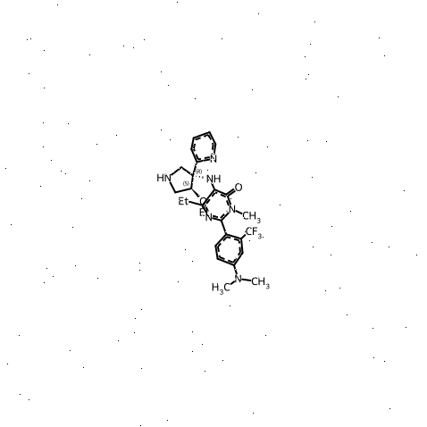 CCO[C@H]1CNC[C@@]1(Nc1c(CC)nc(-c2ccc(N(C)C)cc2C(F)(F)F)n(C)c1=O)c1ccccn1